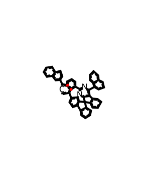 c1ccc(-c2nc(-c3cccc4ccccc34)c3c(n2)C2(c4ccccc4-c4ccc(-c5ccc(-c6ccc7ccccc7c6)cc5)cc42)c2ccccc2-3)cc1